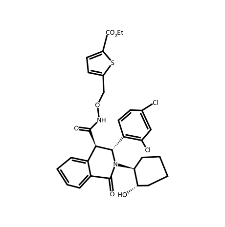 CCOC(=O)c1ccc(CONC(=O)[C@@H]2c3ccccc3C(=O)N([C@H]3CCCC[C@@H]3O)[C@H]2c2ccc(Cl)cc2Cl)s1